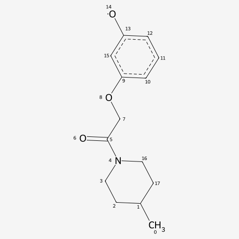 CC1CCN(C(=O)COc2cccc([O])c2)CC1